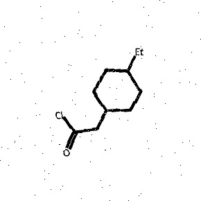 CCC1CCC(CC(=O)Cl)CC1